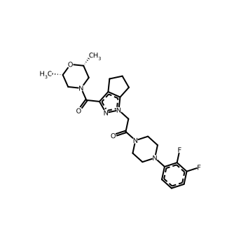 C[C@@H]1CN(C(=O)c2nn(CC(=O)N3CCN(c4cccc(F)c4F)CC3)c3c2CCC3)C[C@H](C)O1